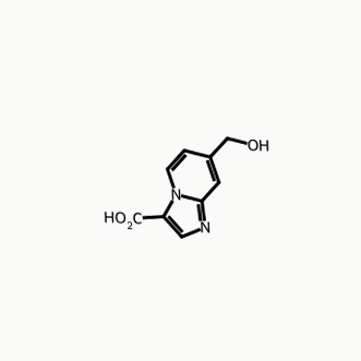 O=C(O)c1cnc2cc(CO)ccn12